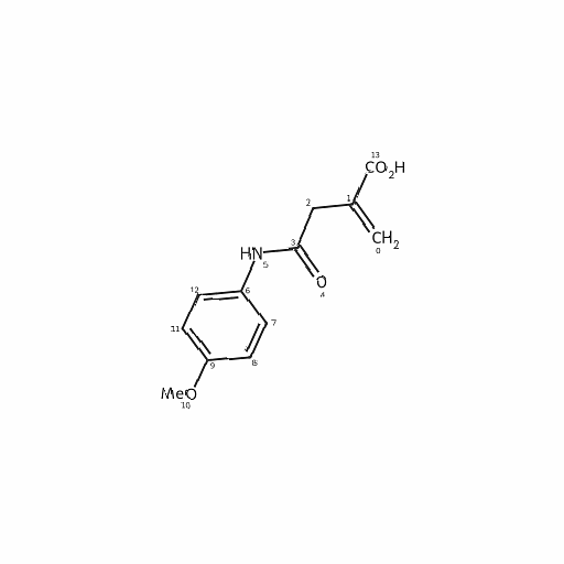 C=C(CC(=O)Nc1ccc(OC)cc1)C(=O)O